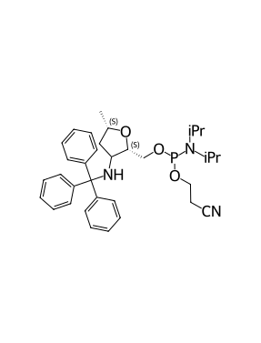 CC(C)N(C(C)C)P(OCCC#N)OC[C@H]1O[C@@H](C)CC1NC(c1ccccc1)(c1ccccc1)c1ccccc1